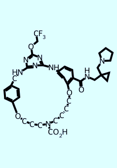 O=C(NCC1(CN2CCCC2)CC1)c1ccc2cc1OCCCCN(C(=O)O)CCCOc1ccc(cc1)CNc1nc(nc(OCC(F)(F)F)n1)N2